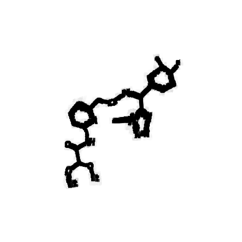 CCOC(OCC)C(=O)Nc1cccc(CO/N=C(/c2ccc(F)c(C)c2)c2nnnn2C)n1